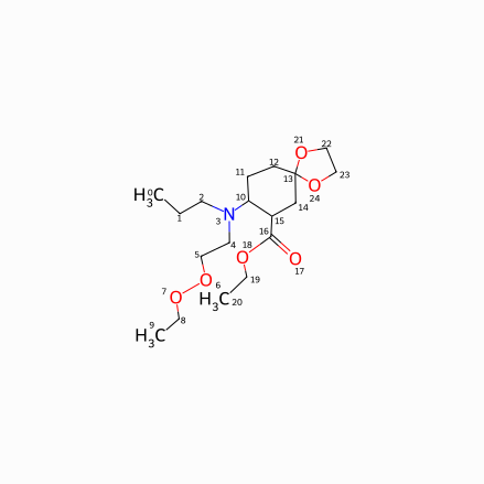 CCCN(CCOOCC)C1CCC2(CC1C(=O)OCC)OCCO2